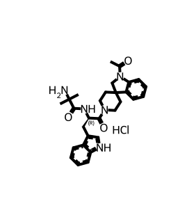 CC(=O)N1CC2(CCN(C(=O)[C@@H](Cc3c[nH]c4ccccc34)NC(=O)C(C)(C)N)CC2)c2ccccc21.Cl